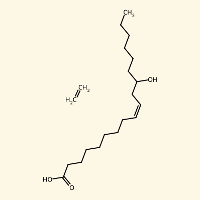 C=C.CCCCCCC(O)C/C=C\CCCCCCCC(=O)O